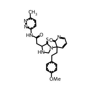 COc1ccc(CCC2(N3CNC(CC(=O)Nc4ccc(C)nn4)C3=S)C=CC=NC2=O)cc1